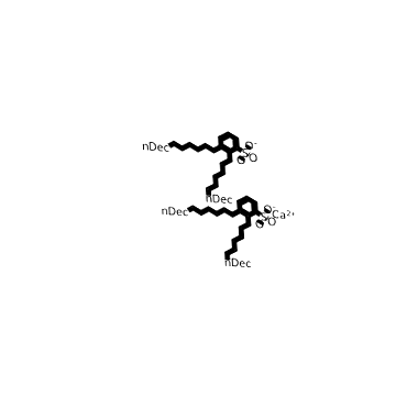 CCCCCCCCCCCCCCCCc1cccc(S(=O)(=O)[O-])c1CCCCCCCCCCCCCCCC.CCCCCCCCCCCCCCCCc1cccc(S(=O)(=O)[O-])c1CCCCCCCCCCCCCCCC.[Ca+2]